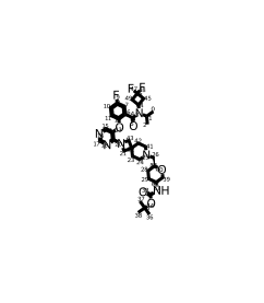 CC(C)N(C(=O)c1cc(F)ccc1Oc1cncnc1N1CC2(CCN(C[C@@H]3CC[C@@H](NC(=O)OC(C)(C)C)CO3)CC2)C1)C1CC(F)(F)C1